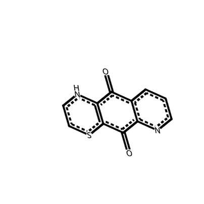 O=c1c2[nH]ccsc=2c(=O)c2ncccc12